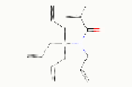 C=CCN(C(=O)C(=C)C)[Si](CC=C)(CC=C)CC=C